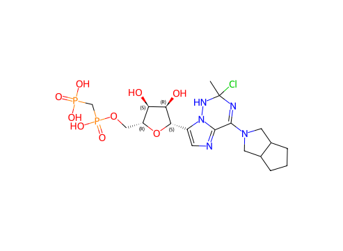 CC1(Cl)N=C(N2CC3CCCC3C2)c2ncc([C@@H]3O[C@H](COP(=O)(O)CP(=O)(O)O)[C@@H](O)[C@H]3O)n2N1